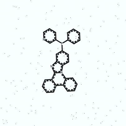 c1ccc(P(c2cccnc2)c2ccc3c(c2)nc2c4ccccc4c4ccccc4n32)cc1